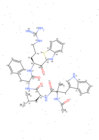 CC(=O)NC([SiH3])(Cc1c[nH]c2ccccc12)C(=O)N[C@@H](CC(C)C)C(=O)NC(Cc1ccccc1)C(=O)N[C@@H](CCCNC(=N)N)C(=O)c1nc2ccccc2s1